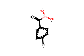 C=C(B(O)O)c1ccc(C(F)(F)F)cc1